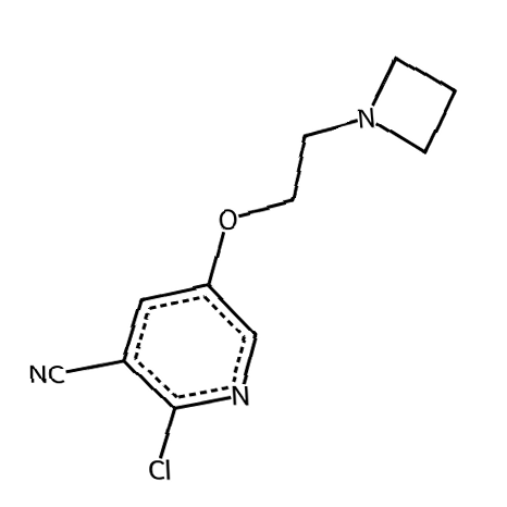 N#Cc1cc(OCCN2CCC2)cnc1Cl